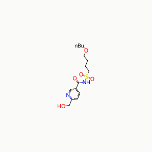 CCCCOCCCCS(=O)(=O)NC(=O)c1ccc(CO)nc1